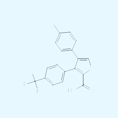 Cc1ccc(-c2csc(C(=O)O)c2-c2ccc(C(F)(F)F)cc2)cc1